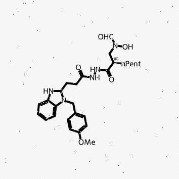 CCCCC[C@H](CN(O)C=O)C(=O)NNC(=O)CCC1Nc2ccccc2N1Cc1ccc(OC)cc1